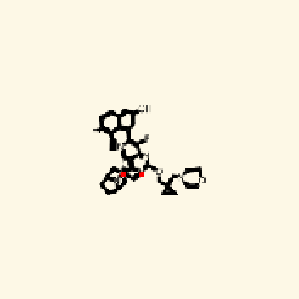 C#Cc1c(F)ccc2cc(O)cc(-c3ncc4c(N5CC6CCC(C5)N6C(=O)C=C)nc(OCC5(CN6CCOCC6)CC5)nc4c3F)c12